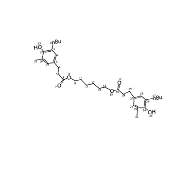 CCCCc1cc(CCC(=O)OCCCCCCOC(=O)CCc2cc(C)c(O)c(CCCC)c2)cc(C)c1O